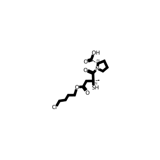 C[C@](S)(CC(=O)OCCCCCl)C(=O)N1CCC[C@H]1C(=O)O